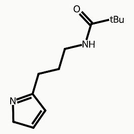 CC(C)(C)C(=O)NCCCC1=NCC=C1